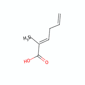 C=CC/C=C(\[SiH3])C(=O)O